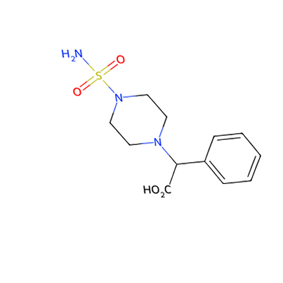 NS(=O)(=O)N1CCN(C(C(=O)O)c2ccccc2)CC1